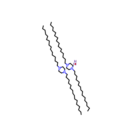 CCCCCCCCCCCCCCCCN1CCN(CCCCCCCCCCCCCCCC)CC1.CCCCCCCCCCCCCCCCN1CCN(CCCCCCCCCCCCCCCC)CC1.I.I